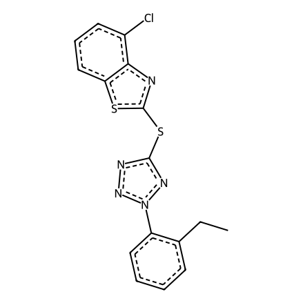 CCc1ccccc1-n1nnc(Sc2nc3c(Cl)cccc3s2)n1